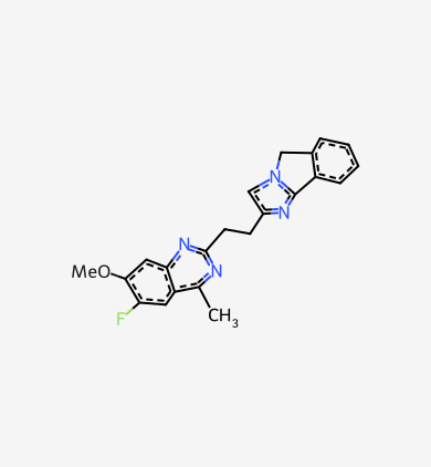 COc1cc2nc(CCc3cn4c(n3)-c3ccccc3C4)nc(C)c2cc1F